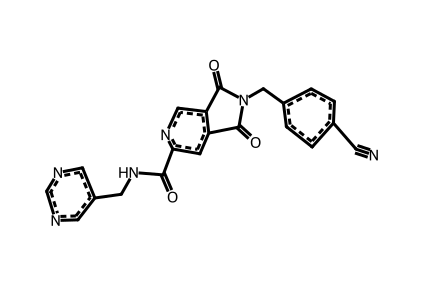 N#Cc1ccc(CN2C(=O)c3cnc(C(=O)NCc4cncnc4)cc3C2=O)cc1